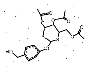 CC(=O)OCC1OC(Oc2ccc(CO)cc2)CC(OC(C)=O)C1OC(C)=O